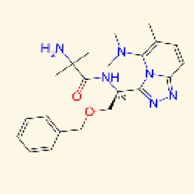 Cc1ccc2nnc([C@@H](COCc3ccccc3)NC(=O)C(C)(C)N)n2c1N(C)C